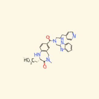 CN1Cc2cc(C(=O)N(CCCc3ccncc3)Cc3nc4ccccc4[nH]3)ccc2N[C@@H](CC(=O)O)C1=O